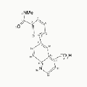 CNC(=O)c1cccc(-c2ccc3nccc(C(=O)O)c3c2)c1